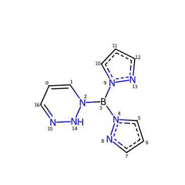 C1=CN(B(n2cccn2)n2cccn2)NN=C1